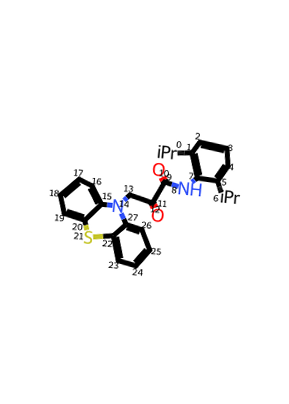 CC(C)c1cccc(C(C)C)c1NC(=O)C(=O)CN1c2ccccc2Sc2ccccc21